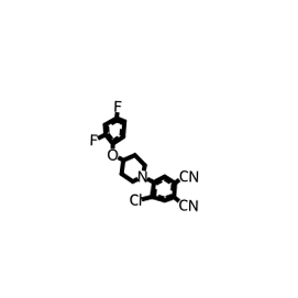 N#Cc1cc(Cl)c(N2CCC(Oc3ccc(F)cc3F)CC2)cc1C#N